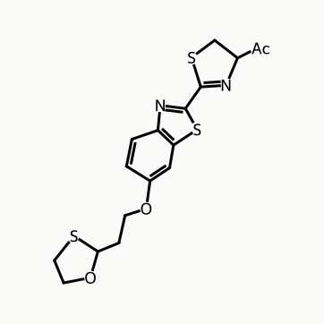 CC(=O)C1CSC(c2nc3ccc(OCCC4OCCS4)cc3s2)=N1